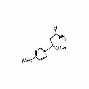 CCC(N)CC(C(=O)O)c1ccc(OC)cc1